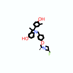 Cc1cc(-c2c(C)c3cc(O)ccc3n2Cc2ccc(OC[C@H](C)N3CC[C@@H](CF)C3)cc2)ccc1O